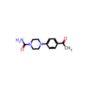 CC(=O)c1ccc(N2CCN(C(N)=O)CC2)cc1